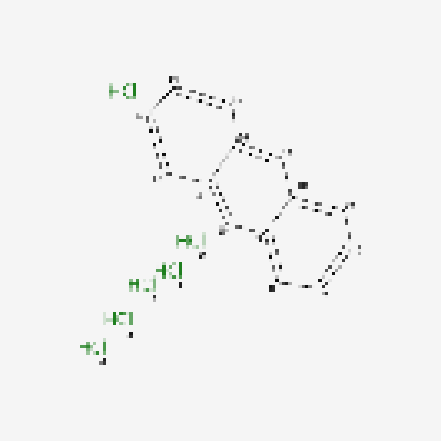 Cl.Cl.Cl.Cl.Cl.Cl.c1ccc2cc3ccccc3cc2c1